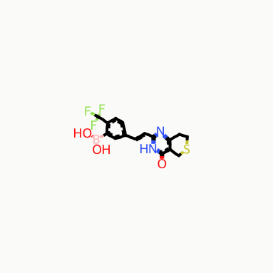 O=c1[nH]c(/C=C/c2ccc(C(F)(F)F)c(B(O)O)c2)nc2c1CSCC2